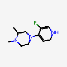 CC1CN(C2=CCNC=C2F)CCN1C